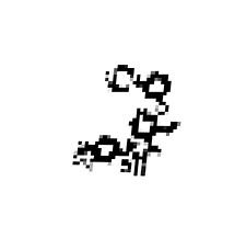 CCc1c(C(C)NS(=O)(=O)c2ccc3c(c2)N=S=N3)ccnc1Oc1cccc(N2CCOCC2)c1